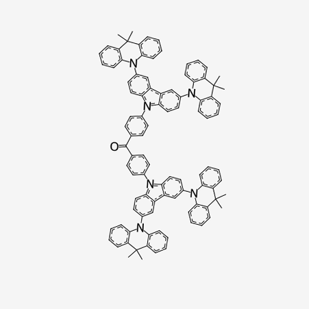 CC1(C)c2ccccc2N(c2ccc3c(c2)c2cc(N4c5ccccc5C(C)(C)c5ccccc54)ccc2n3-c2ccc(C(=O)c3ccc(-n4c5ccc(N6c7ccccc7C(C)(C)c7ccccc76)cc5c5cc(N6c7ccccc7C(C)(C)c7ccccc76)ccc54)cc3)cc2)c2ccccc21